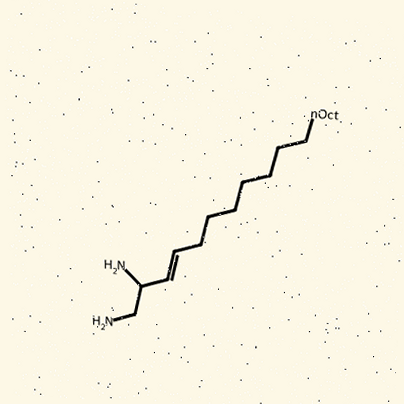 CCCCCCCCCCCCCCCC=CC(N)CN